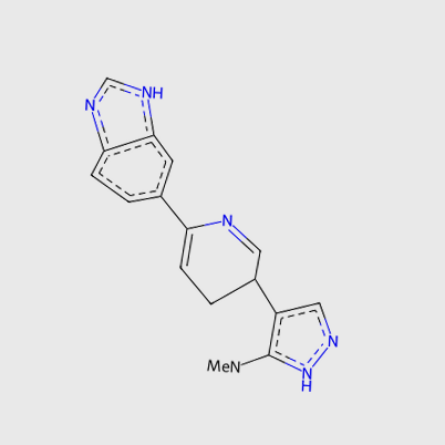 CNc1[nH]ncc1C1C=NC(c2ccc3nc[nH]c3c2)=CC1